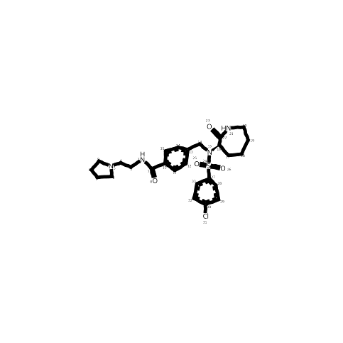 O=C(NCCN1CCCC1)c1ccc(CN([C@@H]2CCCCNC2=O)S(=O)(=O)c2ccc(Cl)cc2)cc1